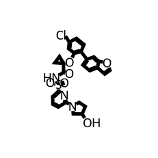 O=C(NS(=O)(=O)c1cccc(N2CCC(O)C2)n1)C1(Oc2cc(Cl)ccc2-c2ccc3ccoc3c2)CC1